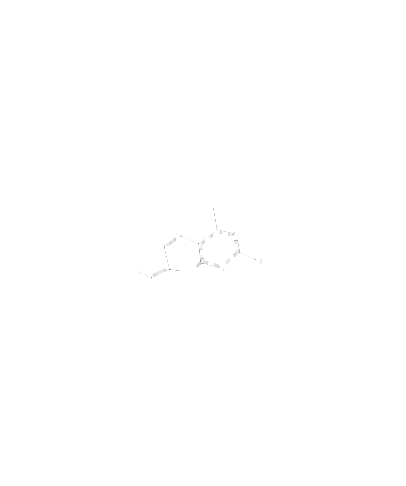 C/C=C(C)\C=N/c1c(C)nc(N)[nH]c1=O